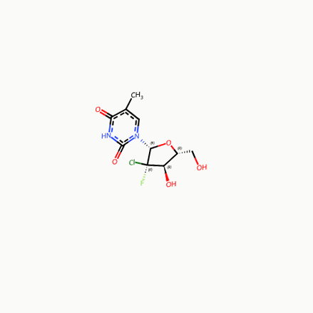 Cc1cn([C@@H]2O[C@H](CO)[C@@H](O)[C@@]2(F)Cl)c(=O)[nH]c1=O